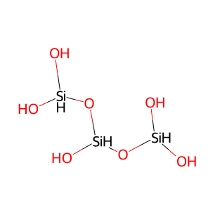 O[SiH](O)O[SiH](O)O[SiH](O)O